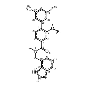 CCOc1cc(C(=O)N(C)Cc2cncc3cn[nH]c23)ccc1-c1cc(F)cc(C#N)c1